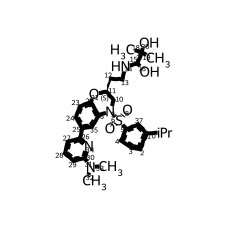 CC(C)c1cccc(S(=O)(=O)N2C[C@H](CCNC(O)C(C)(C)O)Oc3ccc(-c4cccc(N(C)C)n4)cc32)c1